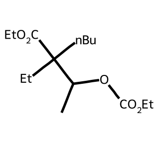 CCCCC(CC)(C(=O)OCC)C(C)OC(=O)OCC